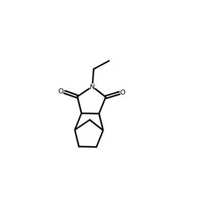 CCN1C(=O)C2C3CCC(C3)C2C1=O